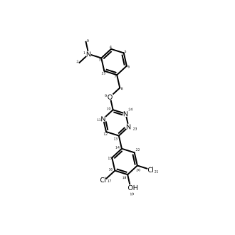 CN(C)c1cccc(COc2ncc(-c3cc(Cl)c(O)c(Cl)c3)nn2)c1